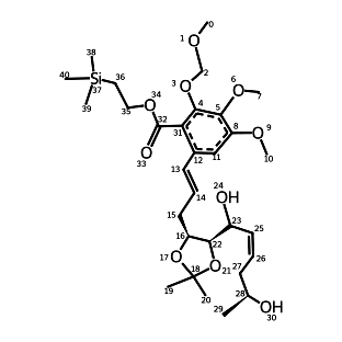 COCOc1c(OC)c(OC)cc(/C=C/C[C@@H]2OC(C)(C)O[C@@H]2C(O)/C=C\C[C@H](C)O)c1C(=O)OCC[Si](C)(C)C